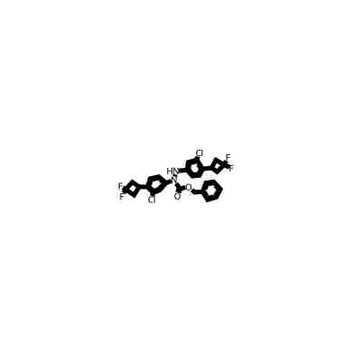 O=C(OCc1ccccc1)N(Nc1ccc(C2CC(F)(F)C2)c(Cl)c1)c1ccc(C2CC(F)(F)C2)c(Cl)c1